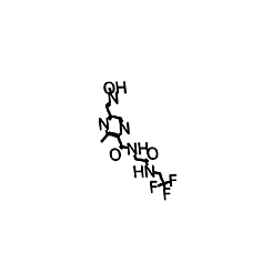 Cc1nc(C=NO)cnc1C(=O)NCC(=O)NCC(F)(F)F